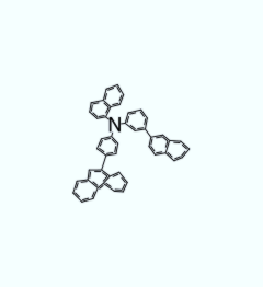 c1cc(-c2ccc3ccccc3c2)cc(N(c2ccc(-c3cc4ccccc4c4ccccc34)cc2)c2cccc3ccccc23)c1